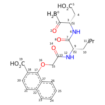 BC(=O)[C@H](CC(=O)O)NC(=O)[C@H](CC(C)C)NC(=O)COc1c(C(=O)O)ccc2ccccc12